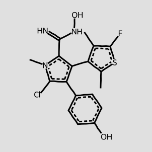 Cc1sc(F)c(C)c1-c1c(-c2ccc(O)cc2)c(Cl)n(C)c1C(=N)NO